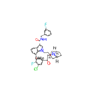 COc1cccc2c(C(=O)NCc3cccc(F)c3)cn(CCCN3[C@@H]4CC[C@H]3C[C@@H](CC(=O)c3ccc(F)c(Cl)c3)C4)c12